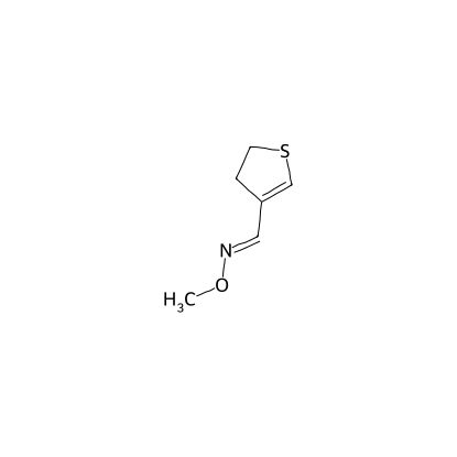 CON=CC1=CSCC1